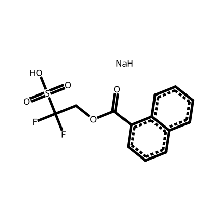 O=C(OCC(F)(F)S(=O)(=O)O)c1cccc2ccccc12.[NaH]